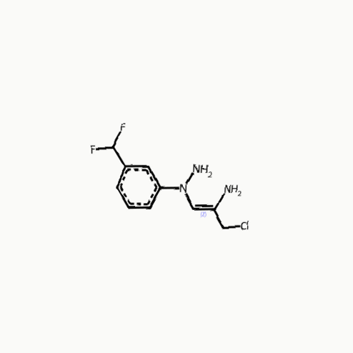 N/C(=C\N(N)c1cccc(C(F)F)c1)CCl